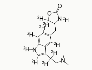 [2H]c1c(C[C@@H]2N([2H])C(=O)OC2([2H])[2H])c([2H])c2c(C([2H])([2H])CN(C)C)c([2H])n([2H])c2c1[2H]